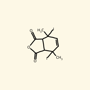 CC1(I)C=CC(C)(I)C2C(=O)OC(=O)C21